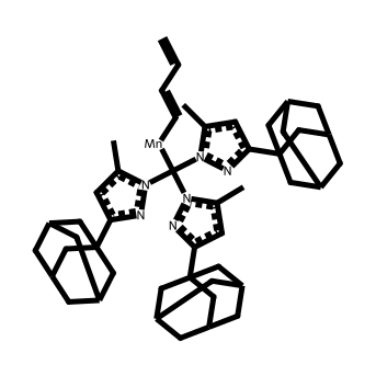 C=CC=[CH][Mn][C](n1nc(C23CC4CC(CC(C4)C2)C3)cc1C)(n1nc(C23CC4CC(CC(C4)C2)C3)cc1C)n1nc(C23CC4CC(CC(C4)C2)C3)cc1C